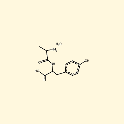 CC(N)C(=O)NC(Cc1ccc(O)cc1)C(=O)O.O